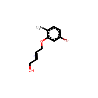 O=[N+]([O-])c1ccc(Br)cc1OC/C=C/CO